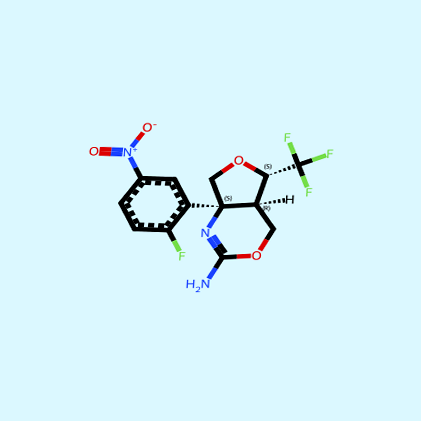 NC1=N[C@@]2(c3cc([N+](=O)[O-])ccc3F)CO[C@H](C(F)(F)F)[C@H]2CO1